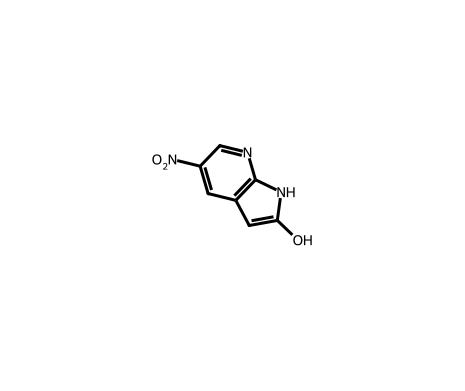 O=[N+]([O-])c1cnc2[nH]c(O)cc2c1